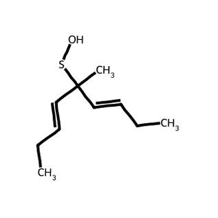 CCC=CC(C)(C=CCC)SO